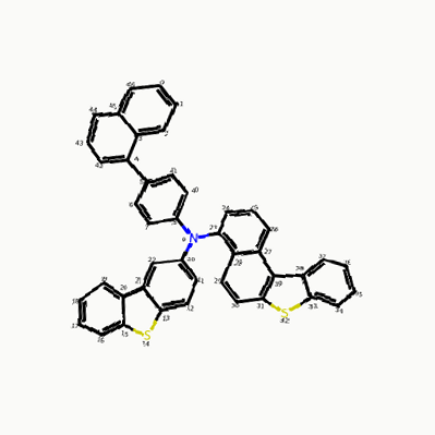 c1ccc2c(-c3ccc(N(c4ccc5sc6ccccc6c5c4)c4cccc5c4ccc4sc6ccccc6c45)cc3)cccc2c1